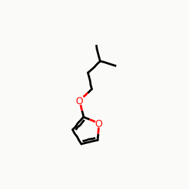 CC(C)CCOc1ccco1